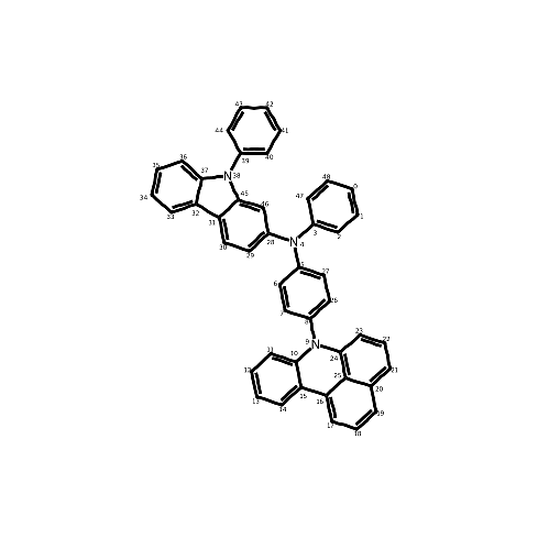 c1ccc(N(c2ccc(N3c4ccccc4-c4cccc5cccc3c45)cc2)c2ccc3c4ccccc4n(-c4ccccc4)c3c2)cc1